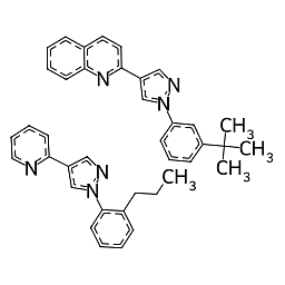 CC(C)(C)c1cccc(-n2cc(-c3ccc4ccccc4n3)cn2)c1.CCCc1ccccc1-n1cc(-c2ccccn2)cn1